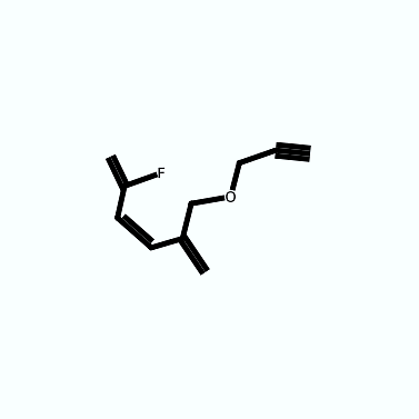 C#CCOCC(=C)/C=C\C(=C)F